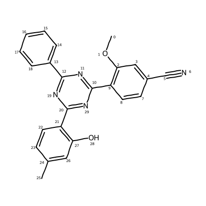 COc1cc(C#N)ccc1-c1nc(-c2ccccc2)nc(-c2ccc(C)cc2O)n1